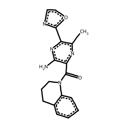 Cc1nc(C(=O)N2CCCc3ccccc32)c(N)nc1-c1ncco1